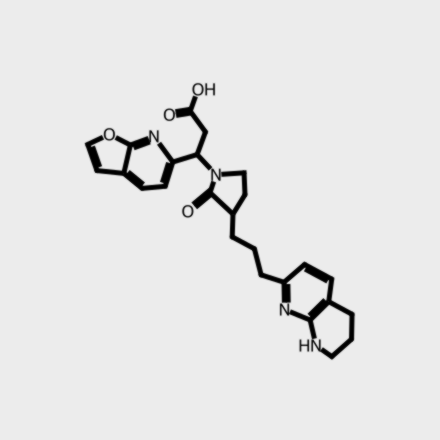 O=C(O)CC(c1ccc2ccoc2n1)N1CCC(CCCc2ccc3c(n2)NCCC3)C1=O